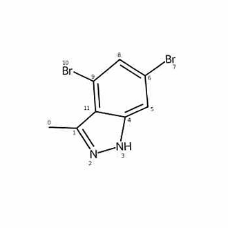 Cc1n[nH]c2cc(Br)cc(Br)c12